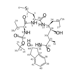 CSCC[C@H](NC(=O)[C@@H](NC(=O)OC(C)(C)C)C(C)C)C(=O)N[C@@H](CC(C)C)[C@@H](O)C[C@@H](C)C(=O)N[C@@H]1c2ccccc2C[C@@H]1O